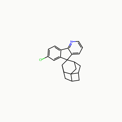 Clc1ccc2c(c1)C1(c3cccnc3-2)C2CC3CC4CC1CC34C2